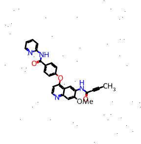 CC#CC(=O)Nc1cc2c(Oc3ccc(C(=O)Nc4ccccn4)cc3)ccnc2cc1OC